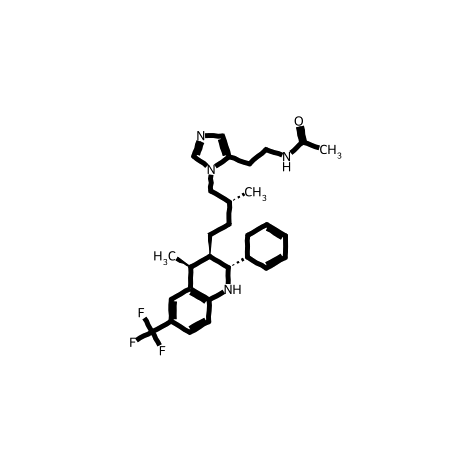 CC(=O)NCCc1cncn1C[C@H](C)CC[C@@H]1[C@H](C)c2cc(C(F)(F)F)ccc2N[C@H]1C1C=CC=CC1